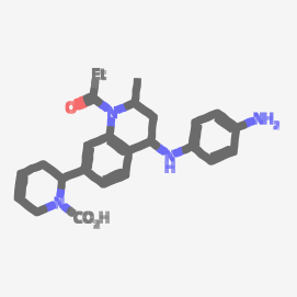 CCC(=O)N1c2cc(C3CC=CCN3C(=O)O)ccc2C(Nc2ccc(N)cc2)CC1C